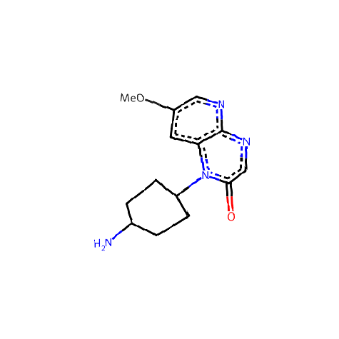 COc1cnc2ncc(=O)n(C3CCC(N)CC3)c2c1